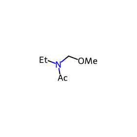 CCN(COC)C(C)=O